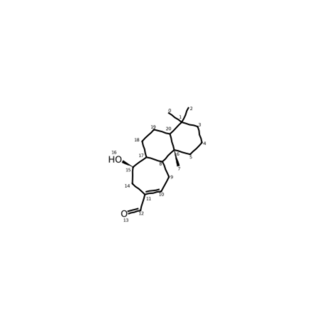 CC1(C)CCC[C@]2(C)C3CC=C(C=O)C[C@@H](O)C3CCC12